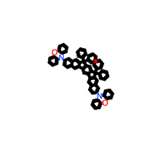 c1ccc(C2(c3ccccc3)c3cc4c(cc3-c3cc5ccc(N6c7ccccc7Oc7ccccc76)cc5cc32)-c2cc3ccc(N5c6ccccc6Oc6ccccc65)cc3cc2C4(c2ccccc2)c2ccccc2)cc1